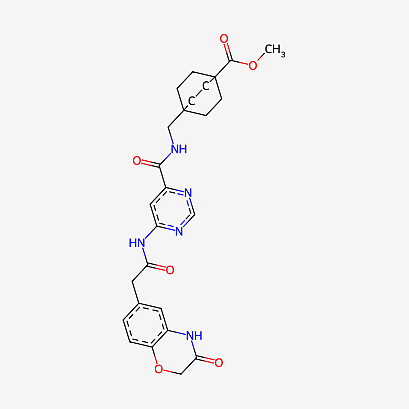 COC(=O)C12CCC(CNC(=O)c3cc(NC(=O)Cc4ccc5c(c4)NC(=O)CO5)ncn3)(CC1)CC2